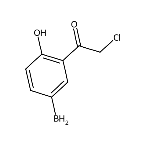 Bc1ccc(O)c(C(=O)CCl)c1